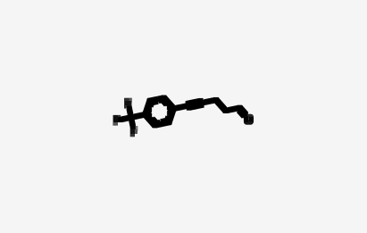 O=CCCC#Cc1ccc(C(F)(F)F)cc1